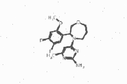 COc1cc(F)c(F)cc1C1COCCCN1c1cc(C)nc(N)n1